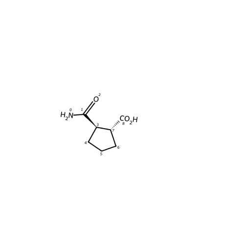 NC(=O)[C@@H]1CCC[C@H]1C(=O)O